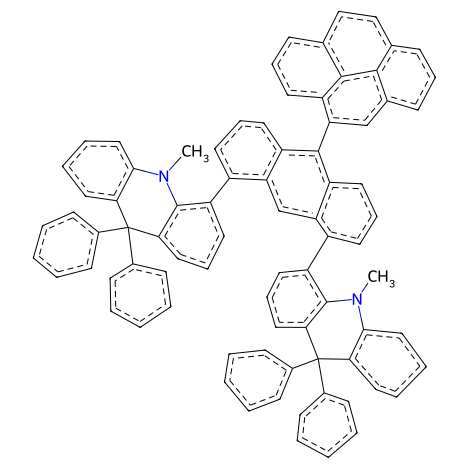 CN1c2ccccc2C(c2ccccc2)(c2ccccc2)c2cccc(-c3cccc4c(-c5cc6cccc7ccc8cccc5c8c76)c5cccc(-c6cccc7c6N(C)c6ccccc6C7(c6ccccc6)c6ccccc6)c5cc34)c21